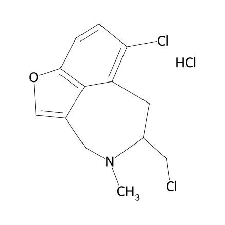 CN1Cc2coc3ccc(Cl)c(c23)CC1CCl.Cl